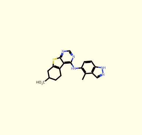 Cc1c(Nc2ncnc3sc4c(c23)CCC(C(=O)O)C4)ccc2[nH]ncc12